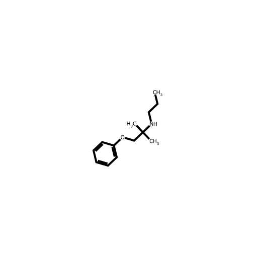 CCCNC(C)(C)COc1ccccc1